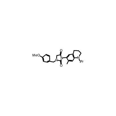 COc1ccc(CN2CC(=O)N(c3cc4c(cc3C)N(C(C)C)CCC4)C2=O)cc1